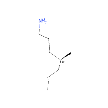 CCC[C@H](C)CCCN